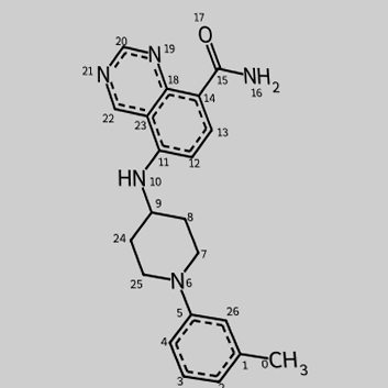 Cc1cccc(N2CCC(Nc3ccc(C(N)=O)c4ncncc34)CC2)c1